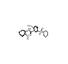 O=C(Nc1ccccc1O)c1cc(S(=O)(=O)N2CCCCC2)ccc1O